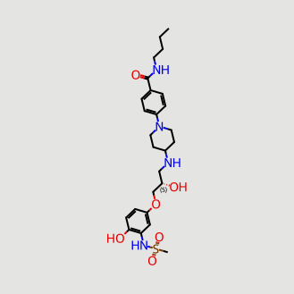 CCCCNC(=O)c1ccc(N2CCC(NC[C@H](O)COc3ccc(O)c(NS(C)(=O)=O)c3)CC2)cc1